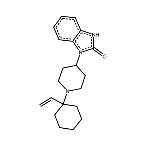 C=CC1(N2CCC(n3c(=O)[nH]c4ccccc43)CC2)CCCCC1